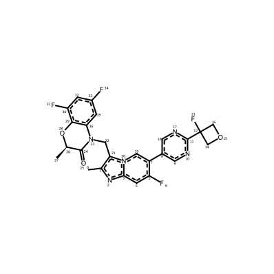 Cc1nc2cc(F)c(-c3cnc(C4(F)COC4)nc3)cn2c1CN1C(=O)[C@@H](C)Oc2c(F)cc(F)cc21